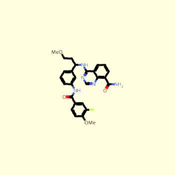 COCCC(Nc1ncnc2c(C(N)=O)cccc12)c1cccc(NC(=O)c2ccc(OC)c(F)c2)c1